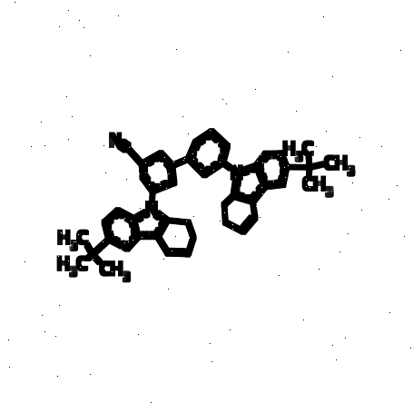 CC(C)(C)c1ccc2c(c1)c1c(n2-c2cccc(-c3cc(C#N)cc(-n4c5c(c6cc(C(C)(C)C)ccc64)C=CCC5)c3)c2)CCC=C1